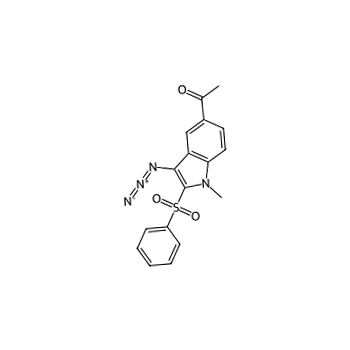 CC(=O)c1ccc2c(c1)c(N=[N+]=[N-])c(S(=O)(=O)c1ccccc1)n2C